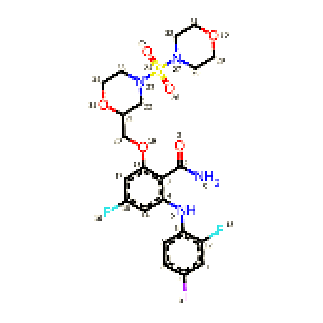 NC(=O)c1c(Nc2ccc(I)cc2F)cc(F)cc1OCC1CN(S(=O)(=O)N2CCOCC2)CCO1